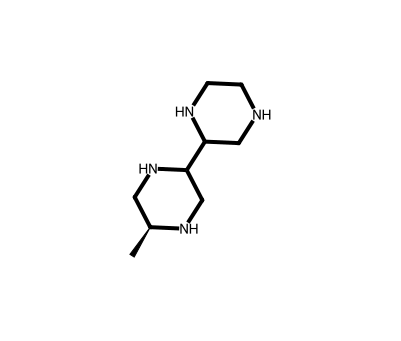 C[C@H]1CNC(C2CNCCN2)CN1